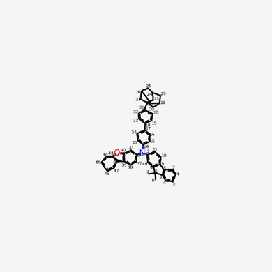 CC1(C)c2ccccc2-c2ccc(N(c3ccc(-c4ccc(C56CC7CC(CC(C7)C5)C6)cc4)cc3)c3ccc4c(c3)oc3ccccc34)cc21